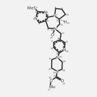 CSc1ncc2c(n1)N1CCC[C@H]1C[N+]([O-])(Cc1ccc(N3CCN(C(=O)OC(C)(C)C)CC3)nc1)C2